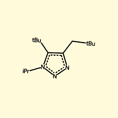 CC(C)n1nnc(CC(C)(C)C)c1C(C)(C)C